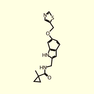 CC1(C(=O)NCc2cc3ccc(OCc4cncs4)cc3[nH]2)CC1